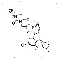 Cc1cc(Cl)cc(-c2ccnc3cc(Cn4c(=O)ccn(CC(F)(F)F)c4=O)sc23)c1OC1CCCC1